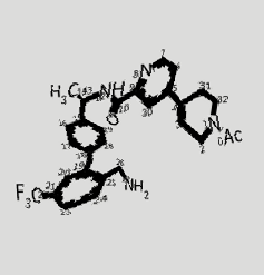 CC(=O)N1CC=C(c2ccnc(C(=O)N[C@H](C)c3ccc(-c4cc(C(F)(F)F)ccc4CN)cc3)c2)CC1